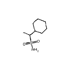 CC(C1CCCCC1)S(N)(=O)=O